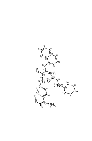 Nc1nccc2cc(CNC(=O)C(Cc3cccc4ccccc34)NC(=O)CNC3CCCCC3)ccc12